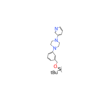 CC(C)(C)[Si](C)(C)OCc1cccc(N2CCN(c3cccnc3)CC2)c1